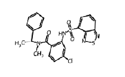 C[C@H](c1ccccc1)N(C)C(=O)c1ccc(Cl)cc1NS(=O)(=O)c1cccc2nsnc12